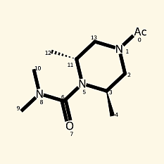 CC(=O)N1C[C@@H](C)N(C(=O)N(C)C)[C@H](C)C1